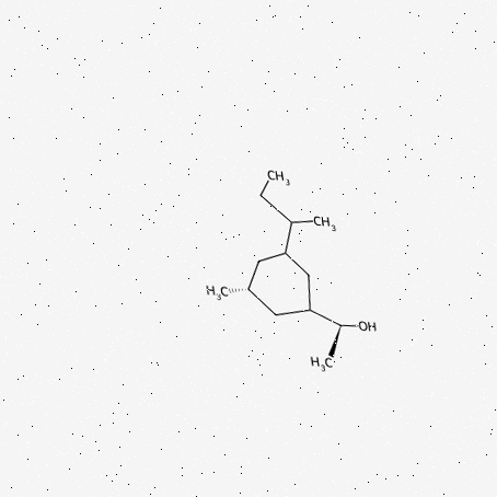 CCC(C)C1CC([C@H](C)O)C[C@H](C)C1